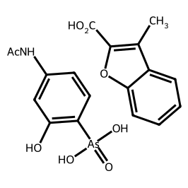 CC(=O)Nc1ccc([As](=O)(O)O)c(O)c1.Cc1c(C(=O)O)oc2ccccc12